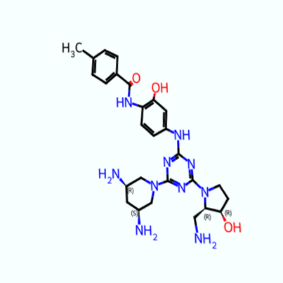 Cc1ccc(C(=O)Nc2ccc(Nc3nc(N4C[C@H](N)C[C@H](N)C4)nc(N4CC[C@@H](O)[C@H]4CN)n3)cc2O)cc1